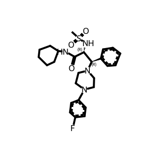 CS(=O)(=O)N[C@@H](C(=O)NC1CCCCC1)[C@@H](c1ccccc1)N1CCN(c2ccc(F)cc2)CC1